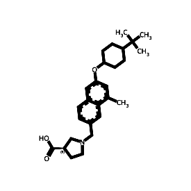 Cc1cc(OC2CCC(C(C)(C)C)CC2)cc2ccc(CN3CC[C@@H](C(=O)O)C3)cc12